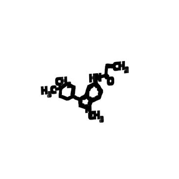 C=CC(=O)Nc1ccc2c(c1)c(C1=CCC(C)(C)CC1)cn2C